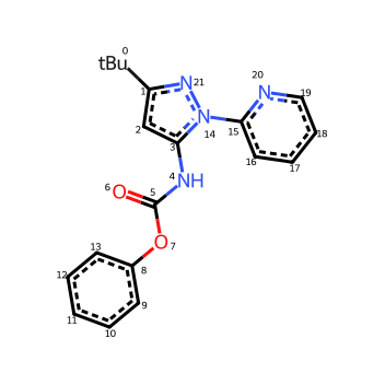 CC(C)(C)c1cc(NC(=O)Oc2ccccc2)n(-c2ccccn2)n1